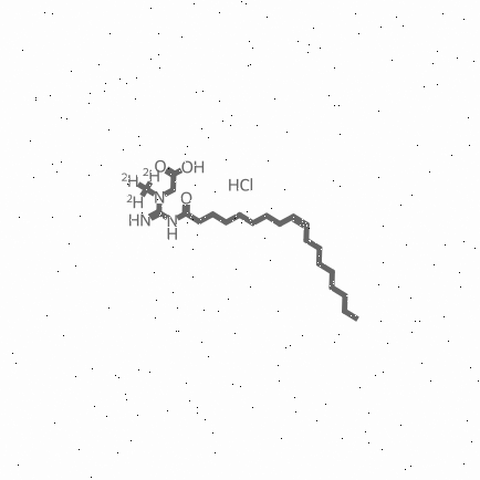 Cl.[2H]C([2H])([2H])N(CC(=O)O)C(=N)NC(=O)CCCCCCC/C=C\CCCCCCCC